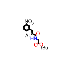 CC(=O)/C(=C\c1cccc([N+](=O)[O-])c1)C(=O)NCC(=O)OC(C)(C)C